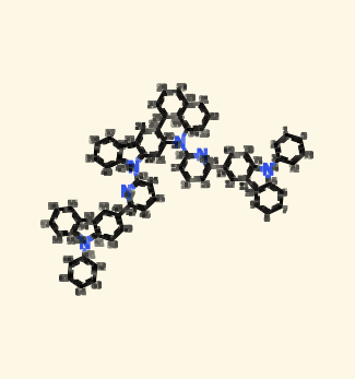 c1ccc(-n2c3ccccc3c3cc(-c4cccc(N5c6cc7c(cc6-c6cccc8cccc5c68)c5ccccc5n7-c5cccc(-c6ccc7c(c6)c6ccccc6n7-c6ccccc6)n5)n4)ccc32)cc1